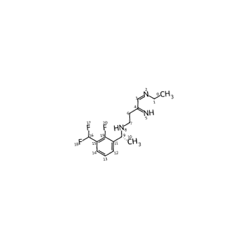 CC/N=C\C(=N)CCN[C@H](C)c1cccc(C(F)F)c1F